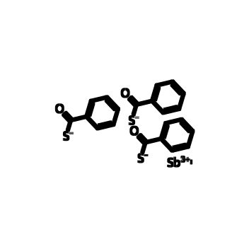 O=C([S-])c1ccccc1.O=C([S-])c1ccccc1.O=C([S-])c1ccccc1.[Sb+3]